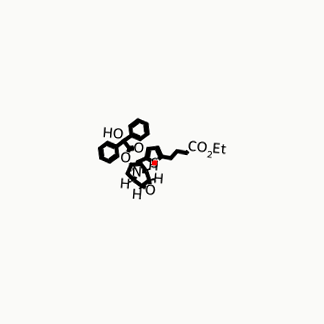 CCOC(=O)CCCc1ccc(C[N+]2(C)[C@@H]3C[C@@H](OC(=O)C(O)(c4ccccc4)c4ccccc4)C[C@H]2[C@@H]2O[C@@H]23)s1